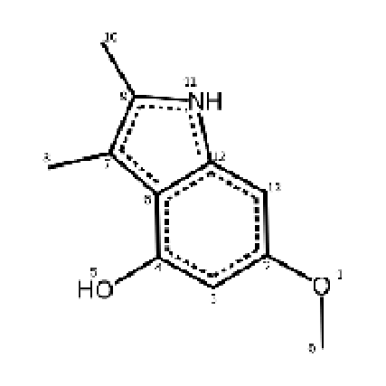 COc1cc(O)c2c(C)c(C)[nH]c2c1